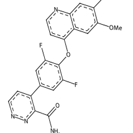 COc1cc2nccc(Oc3c(F)cc(-c4ccnnc4C(N)=O)cc3F)c2cc1OC